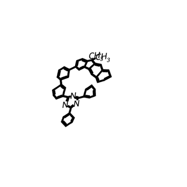 CC1(C)c2ccc(-c3cccc(-c4cccc(-c5nc(-c6ccccc6)nc(-c6ccccc6)n5)c4)c3)cc2-c2cc3ccccc3cc21